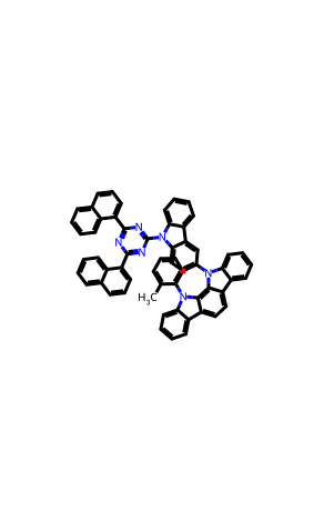 Cc1ccccc1-n1c2ccccc2c2ccc3c4ccccc4n(-c4ccc5c(c4)c4ccccc4n5-c4nc(-c5cccc6ccccc56)nc(-c5cccc6ccccc56)n4)c3c21